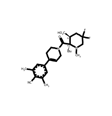 Cc1cc(C2=CCN(C(=O)[C@@]3(C(C)(C)C)[C@@H](C(=O)O)CC(F)(F)CN3C)CC2)cc(C)c1C#N